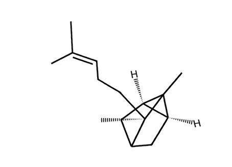 CC(C)=CCC[C@]1(C)C2C[C@@H]3[C@H](C2)C31C